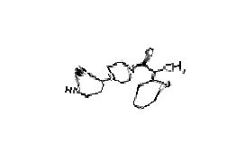 CC(C(=O)N1CCN(C2CCNCC2)CC1)C1CCCC[N]1